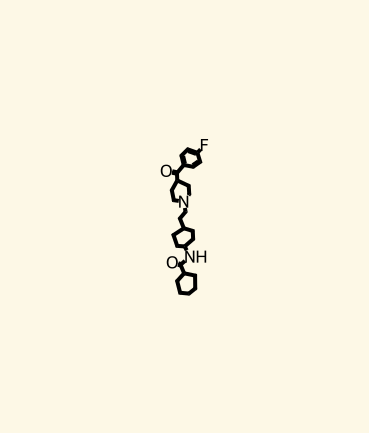 O=C(NC1CCC(CCN2CCC(C(=O)c3ccc(F)cc3)CC2)CC1)C1CCCCC1